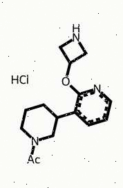 CC(=O)N1CCCC(c2cccnc2OC2CNC2)C1.Cl